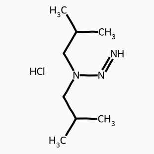 CC(C)CN(CC(C)C)N=N.Cl